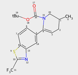 CC1CC=C(c2ccc3sc(C(F)(F)F)nc3c2)N(C(=O)OC(C)(C)C)C1